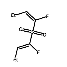 CCC=C(F)S(=O)(=O)C(F)=CCC